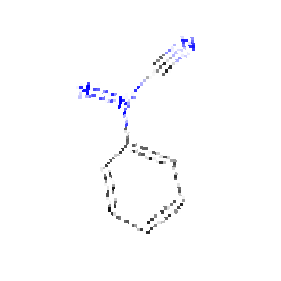 N#C[N+](=[N-])c1ccccc1